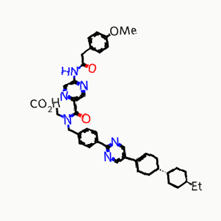 CC[C@H]1CC[C@H](C2CC=C(c3cnc(-c4ccc(CN(CC(=O)O)C(=O)c5cnc(NC(=O)Cc6ccc(OC)cc6)cn5)cc4)nc3)CC2)CC1